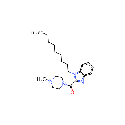 CCCCCCCCCCCCCCCCCCn1c(C(=O)N2CCN(C)CC2)nc2ccccc21